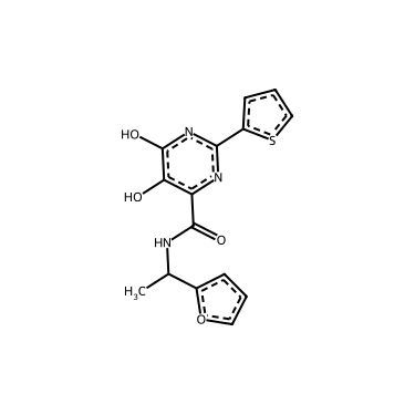 CC(NC(=O)c1nc(-c2cccs2)nc(O)c1O)c1ccco1